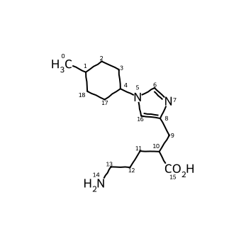 CC1CCC(n2cnc(CC(CCCN)C(=O)O)c2)CC1